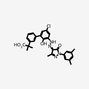 CC1=NN(c2cc(C)cc(C)c2)C(=O)C1=NNc1cc(Cl)cc(-c2cccc(C(C)(C)C(=O)O)c2)c1O